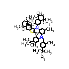 Cc1cc2c3c(c1)N(c1cc4c(cc1C)C(C)(C)CCC4(C)C)c1c(sc4c1C=C1C(C4)C(C)(C)CCC1(C)C)B3c1cc(C(C)(C)C)ccc1N2Cc1ccc(C(C)(C)C)cc1C